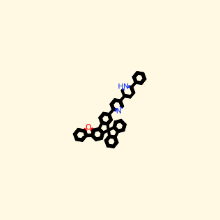 C1=C(c2ccc(-c3ccc4c(c3)C3(c5ccccc5-c5ccccc53)c3ccc5c(oc6ccccc65)c3-4)nc2)CNC(c2ccccc2)=C1